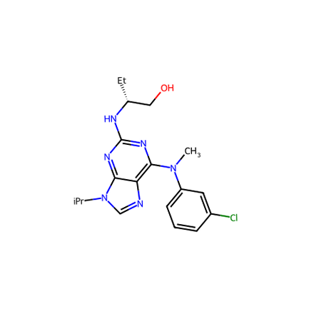 CC[C@H](CO)Nc1nc(N(C)c2cccc(Cl)c2)c2ncn(C(C)C)c2n1